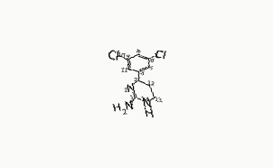 NC1=NC(c2cc(Cl)cc(Cl)c2)CCN1